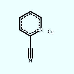 N#Cc1ccccn1.[Cu]